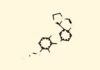 CCCSNc1ccc(F)c(Oc2ccc3c(c2)C2=NCCN2C=N3)c1F